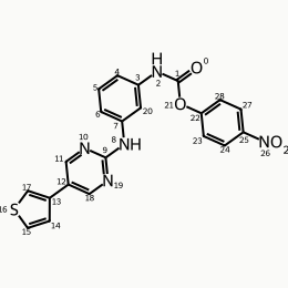 O=C(Nc1cccc(Nc2ncc(-c3ccsc3)cn2)c1)Oc1ccc([N+](=O)[O-])cc1